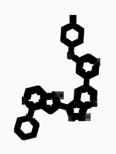 c1cc2[nH]c(-c3n[nH]c4ncc(-c5cncc(OC6CCNCC6)c5)cc34)cc2c(N2CCCCC2)n1